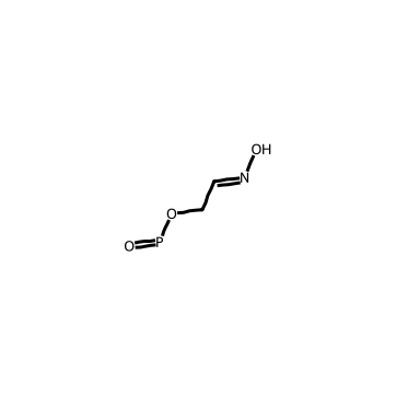 O=POCC=NO